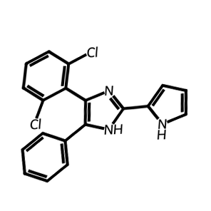 Clc1cccc(Cl)c1-c1nc(-c2ccc[nH]2)[nH]c1-c1ccccc1